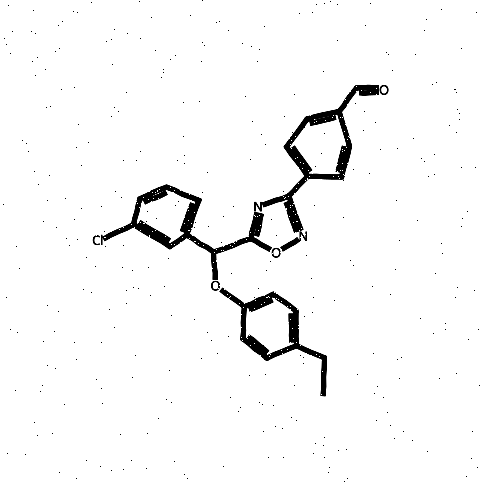 CCc1ccc(OC(c2cccc(Cl)c2)c2nc(-c3ccc(C=O)cc3)no2)cc1